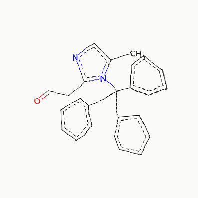 Cc1cnc(CC=O)n1C(c1ccccc1)(c1ccccc1)c1ccccc1